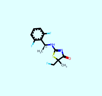 C[C@H](NC1=NC(=O)C(C)(CF)S1)c1c(F)cccc1F